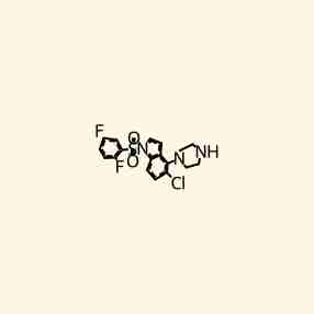 O=S(=O)(c1cc(F)ccc1F)n1ccc2c(N3CCNCC3)c(Cl)ccc21